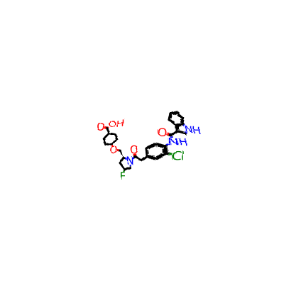 O=C(Nc1ccc(CC(=O)N2C[C@@H](F)C[C@H]2COC2CCC(C(=O)O)CC2)cc1Cl)c1c[nH]c2ccccc12